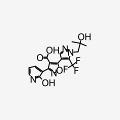 CC(C)(O)Cn1ncc(-c2onc(-c3cccnc3O)c2C(=O)O)c1C(F)(F)F